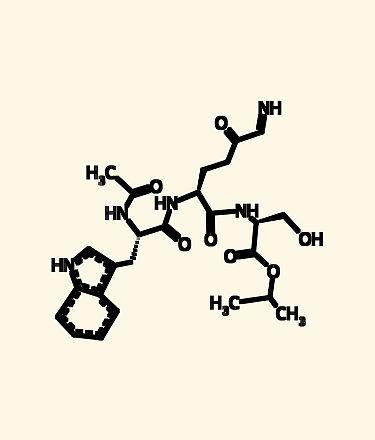 CC(=O)N[C@@H](Cc1c[nH]c2ccccc12)C(=O)N[C@@H](CCC(=O)C=N)C(=O)N[C@@H](CO)C(=O)OC(C)C